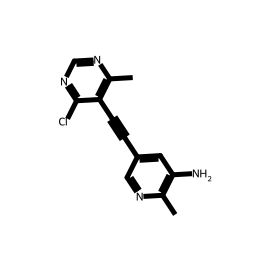 Cc1ncc(C#Cc2c(C)ncnc2Cl)cc1N